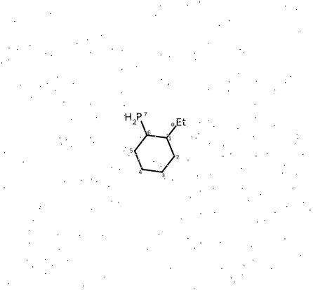 CCC1CCCCC1P